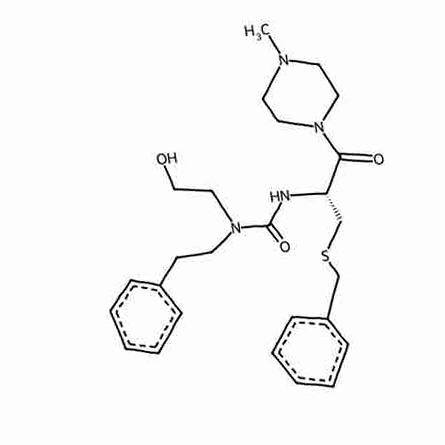 CN1CCN(C(=O)[C@H](CSCc2ccccc2)NC(=O)N(CCO)CCc2ccccc2)CC1